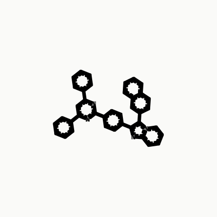 c1ccc(-c2cc(-c3ccccc3)nc(-c3ccc(-c4nc5ccccn5c4-c4ccc5ccccc5c4)cc3)n2)cc1